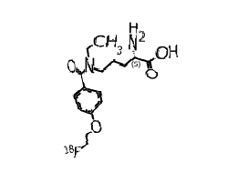 CCN(CCC[C@H](N)C(=O)O)C(=O)c1ccc(OCC[18F])cc1